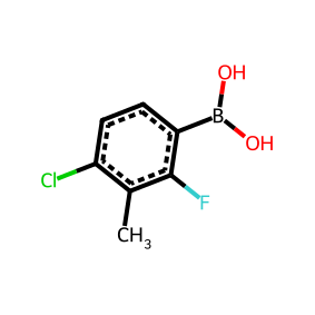 Cc1c(Cl)ccc(B(O)O)c1F